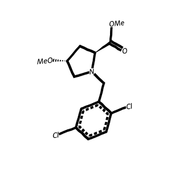 COC(=O)[C@@H]1C[C@@H](OC)CN1Cc1cc(Cl)ccc1Cl